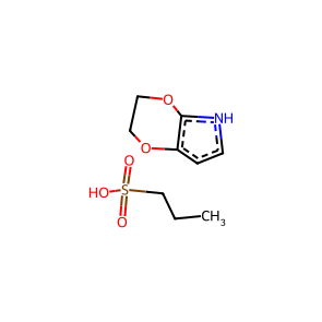 CCCS(=O)(=O)O.c1cc2c([nH]1)OCCO2